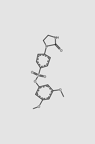 COc1cc(OC)cc(OS(=O)(=O)c2ccc(N3CCNC3=O)cc2)c1